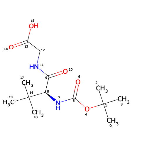 CC(C)(C)OC(=O)N[C@H](C(=O)NCC(=O)O)C(C)(C)C